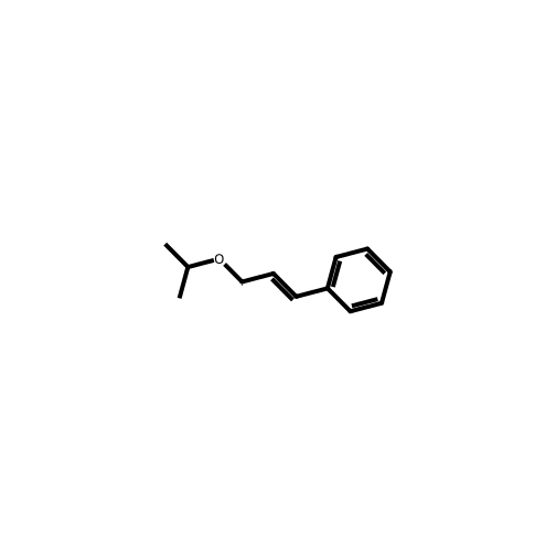 CC(C)O[CH]C=Cc1ccccc1